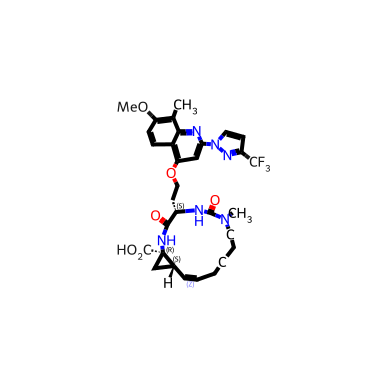 COc1ccc2c(OCC[C@@H]3NC(=O)N(C)CCCC/C=C\[C@@H]4C[C@@]4(C(=O)O)NC3=O)cc(-n3ccc(C(F)(F)F)n3)nc2c1C